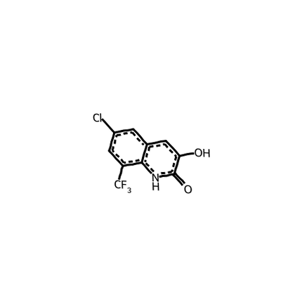 O=c1[nH]c2c(C(F)(F)F)cc(Cl)cc2cc1O